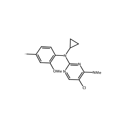 [CH]c1ccc(N(c2ncc(Cl)c(NC)n2)C2CC2)c(OC)c1